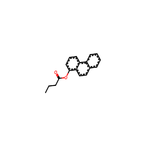 CCCC(=O)Oc1cccc2c1ccc1ccccc12